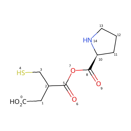 O=C(O)CC(CS)C(=O)OC(=O)[C@@H]1CCCN1